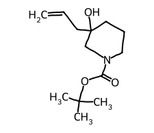 C=CCC1(O)CCCN(C(=O)OC(C)(C)C)C1